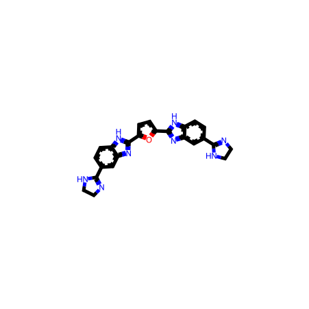 c1cc2[nH]c(-c3ccc(-c4nc5cc(C6=NCCN6)ccc5[nH]4)o3)nc2cc1C1=NCCN1